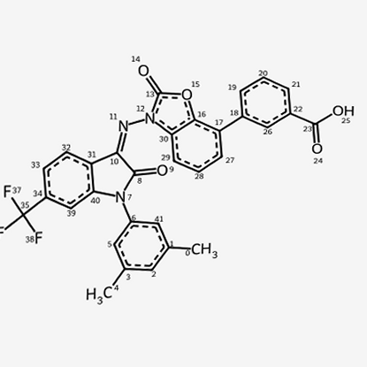 Cc1cc(C)cc(N2C(=O)C(=Nn3c(=O)oc4c(-c5cccc(C(=O)O)c5)cccc43)c3ccc(C(F)(F)F)cc32)c1